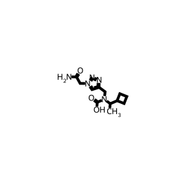 CC(C1CCC1)N(Cc1cn(CC(N)=O)nn1)C(=O)O